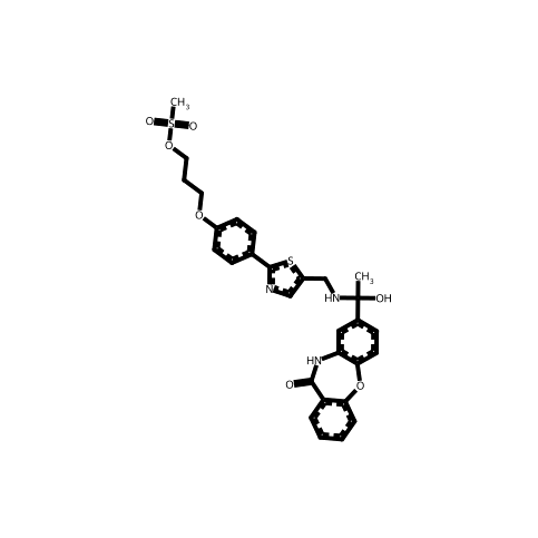 CC(O)(NCc1cnc(-c2ccc(OCCCOS(C)(=O)=O)cc2)s1)c1ccc2c(c1)NC(=O)c1ccccc1O2